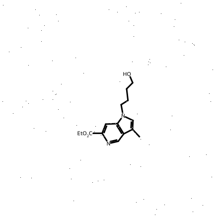 CCOC(=O)c1cc2c(cn1)c(C)cn2CCCCO